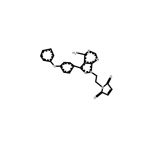 Nc1ncnc2c1c(-c1ccc(Oc3ccccc3)cc1)nn2CCN1C(=O)C=CC1=O